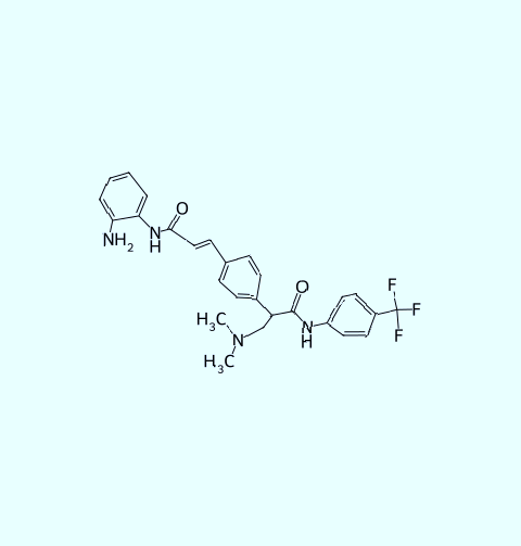 CN(C)CC(C(=O)Nc1ccc(C(F)(F)F)cc1)c1ccc(/C=C/C(=O)Nc2ccccc2N)cc1